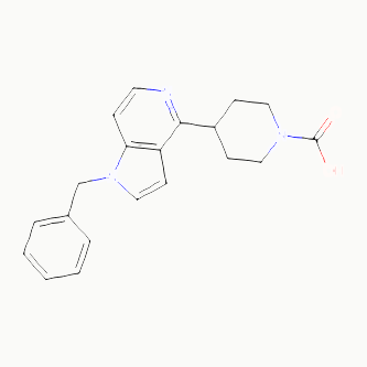 O=C(O)N1CCC(c2nccc3c2ccn3Cc2ccccc2)CC1